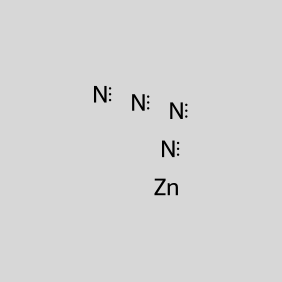 [N].[N].[N].[N].[Zn]